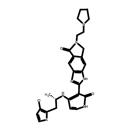 C[C@@H](Cc1sccc1Cl)Nc1cc[nH]c(=O)c1-c1nc2cc3c(cc2[nH]1)CN(CCN1CCCC1)C3=O